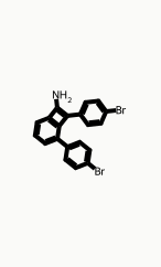 NC1=C(c2ccc(Br)cc2)c2c1cccc2-c1ccc(Br)cc1